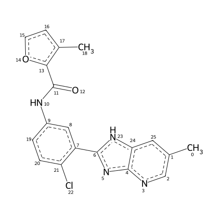 Cc1cnc2nc(-c3cc(NC(=O)c4occc4C)ccc3Cl)[nH]c2c1